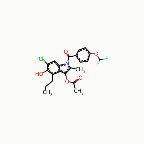 CCCc1c(O)c(Cl)cc2c1c(OC(C)=O)c(C)n2C(=O)c1ccc(OC(F)F)cc1